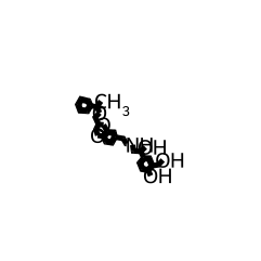 CC(OCC1COc2ccc(CCNCC(O)c3ccc(O)c(CO)c3)cc2O1)c1ccccc1